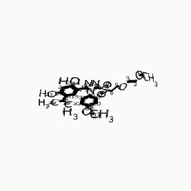 COCCOCCS(=O)(=O)c1nnc(-c2cc(C(C)C)c(O)cc2O)n1-c1ccc(OC)cc1